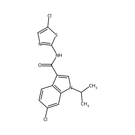 CC(C)n1cc(C(=O)Nc2ncc(Cl)s2)c2ccc(Cl)cc21